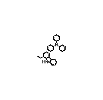 C=Cc1cccc2c1[nH]c1ccccc12.c1ccc(N(c2ccccc2)c2ccccc2)cc1